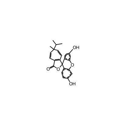 CC(C)C1(C)C=CC2=C(C=C1)C1(OC2=O)c2ccc(O)cc2Oc2cc(O)ccc21